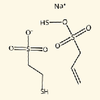 C=CCS(=O)(=O)OS.O=S(=O)([O-])CCS.[Na+]